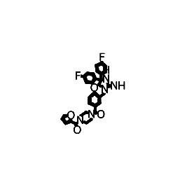 N=C1NC(c2ccc(F)cc2)(c2ccc(F)cc2)C(=O)N1Cc1cccc(C(=O)N2CCN(C(=O)c3ccco3)CC2)c1